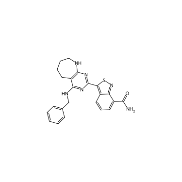 NC(=O)c1cccc2c(-c3nc4c(c(NCc5ccccc5)n3)CCCCN4)snc12